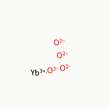 [O-2].[O-2].[O-2].[O-2].[Yb+3]